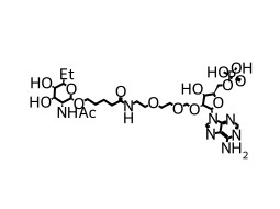 CC[C@H]1O[C@@H](OCCCCC(=O)NCCOCCOCO[C@@H]2[C@H](O)[C@@H](COP(=O)(O)O)O[C@H]2n2cnc3c(N)ncnc32)[C@H](NC(C)=O)[C@@H](O)[C@H]1O